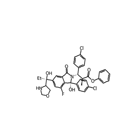 CC[C@](O)(c1cc(F)c2c(c1)C(=O)N([C@H](c1ccc(Cl)cc1)[C@H](C)C(=O)Oc1ccccc1)[C@@]2(O)c1ccc(Cl)cc1)C1COCN1